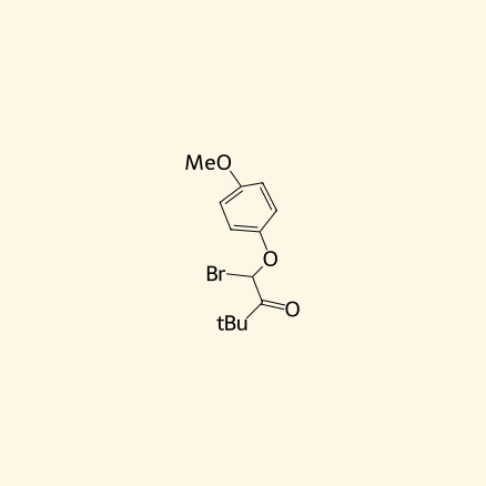 COc1ccc(OC(Br)C(=O)C(C)(C)C)cc1